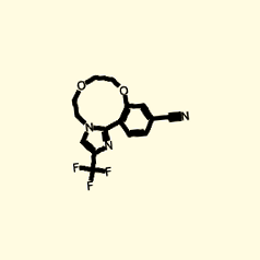 N#Cc1ccc2c(c1)OCCOCCn1cc(C(F)(F)F)nc1-2